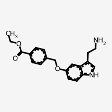 CCOC(=O)c1ccc(COc2ccc3[nH]cc(CCN)c3c2)cc1